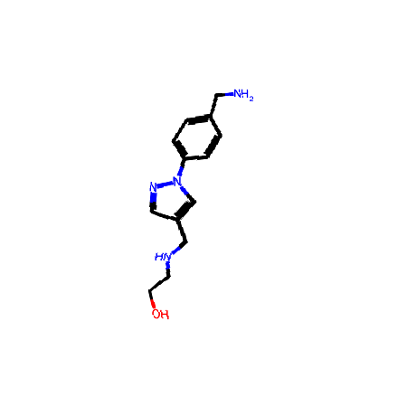 NCc1ccc(-n2cc(CNCCO)cn2)cc1